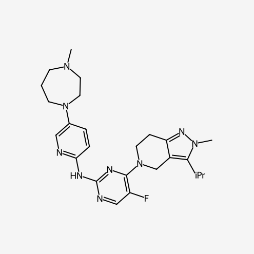 CC(C)c1c2c(nn1C)CCN(c1nc(Nc3ccc(N4CCCN(C)CC4)cn3)ncc1F)C2